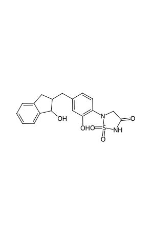 O=C1CN(c2ccc(CC3Cc4ccccc4C3O)cc2O)S(=O)(=O)N1